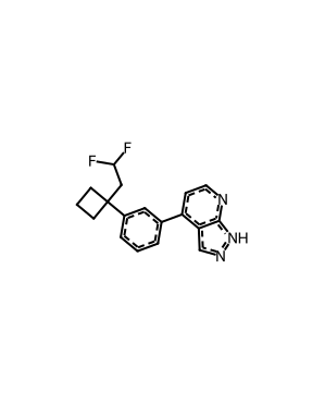 FC(F)CC1(c2cccc(-c3ccnc4[nH]ncc34)c2)CCC1